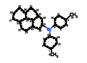 Cc1ccc(N(c2ccc(C)cc2)c2cc3ccc4cccc5ccc(c2)c3c45)cc1